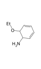 CCOC1C=CC=CC1N